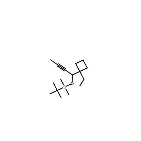 CC#CC(O[Si](C)(C)C(C)(C)C)C1(CC)CCC1